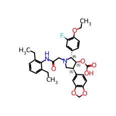 CCOc1ccc([C@@H]2[C@@H](OC(=O)O)[C@@H](c3ccc4c(c3)OCO4)CN2CC(=O)Nc2c(CC)cccc2CC)cc1F